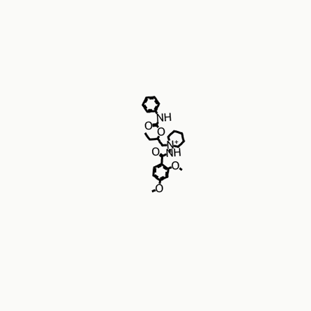 CCC(C[N+]1(NC(=O)c2ccc(OC)cc2OC)CCCCC1)OC(=O)Nc1ccccc1